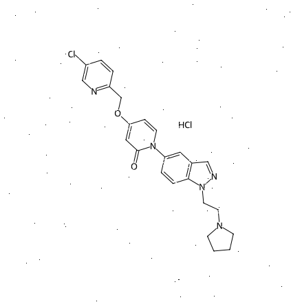 Cl.O=c1cc(OCc2ccc(Cl)cn2)ccn1-c1ccc2c(cnn2CCN2CCCC2)c1